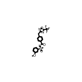 COc1cccc(S(C)(=O)=NC(=O)c2ccc(Cc3noc(C(F)(F)F)n3)cc2)c1